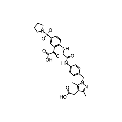 Cc1nn(Cc2ccc(NC(=O)CNc3ccc(S(=O)(=O)N4CCCC4)cc3C(=O)C(=O)O)cc2)c(C)c1CC(=O)O